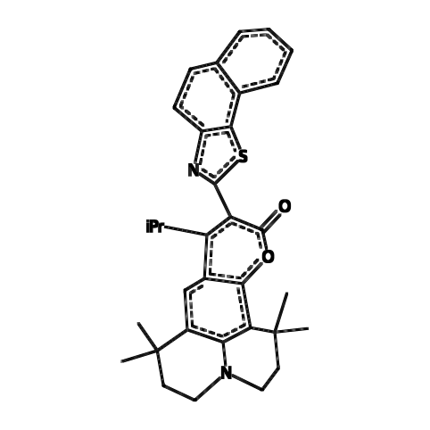 CC(C)c1c(-c2nc3ccc4ccccc4c3s2)c(=O)oc2c3c4c(cc12)C(C)(C)CCN4CCC3(C)C